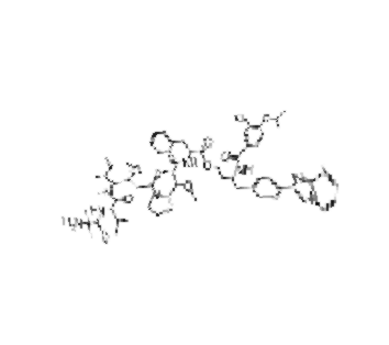 CC[C@H](C)[C@@H]([C@@H](CC(=O)N1CCC[C@H]1[C@H](OC)[C@@H](C)C(=O)N[C@@H](Cc1ccccc1)C(=O)OCC[C@H](Cc1ccc(-c2cn3cccc(C)c3n2)cc1)NC(=O)c1ccc(OC(C)C)c(Cl)c1)OC)N(C)C(=O)[C@@H](NC(=O)C(C)(C)N)C(C)C